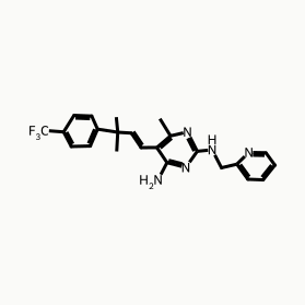 Cc1nc(NCc2ccccn2)nc(N)c1/C=C/C(C)(C)c1ccc(C(F)(F)F)cc1